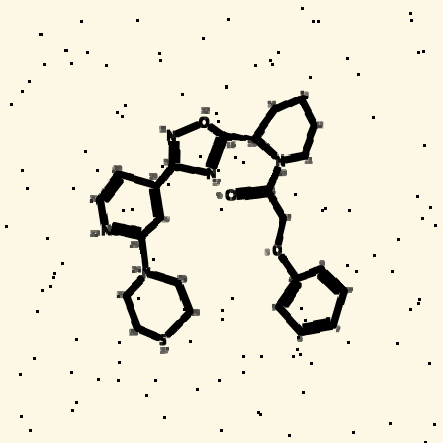 O=C(COc1ccccc1)N1CCCC[C@@H]1c1nc(-c2ccnc(N3CCSCC3)c2)no1